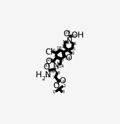 CC(C)(C)OC(=O)CC[C@@H](C(N)=O)N1Cc2c3c(cc(Cl)c2C1=O)C1(CCN(C(=O)O)CC1)CO3